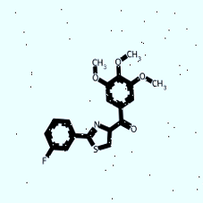 COc1cc(C(=O)C2CSC(c3cccc(F)c3)=N2)cc(OC)c1OC